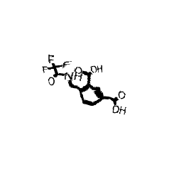 O=C(O)c1ccc(CNC(=O)C(F)(F)F)c(C(=O)O)c1